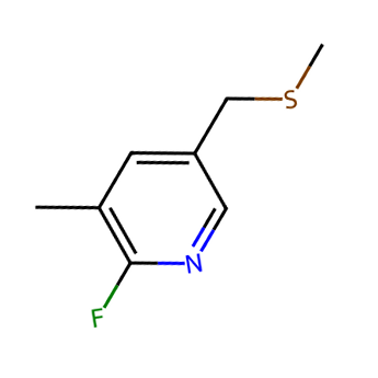 CSCc1cnc(F)c(C)c1